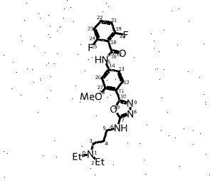 CCN(CC)CCCNc1nnc(-c2ccc(NC(=O)c3c(F)cccc3F)cc2OC)o1